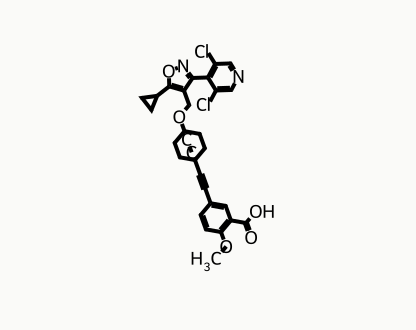 COc1ccc(C#CC23CCC(OCc4c(-c5c(Cl)cncc5Cl)noc4C4CC4)(CC2)CC3)cc1C(=O)O